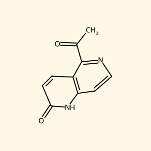 CC(=O)c1nccc2[nH]c(=O)ccc12